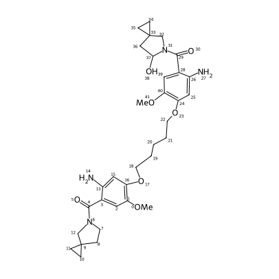 COc1cc(C(=O)N2CCC3(CC3)C2)c(N)cc1OCCCCCOc1cc(N)c(C(=O)N2CC3(CC3)CC2O)cc1OC